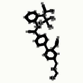 CCNCc1cnc(-c2ccc(C(=O)Nc3ccccc3N(C(=O)O)C(C)(C)C)cc2)c(C#N)c1